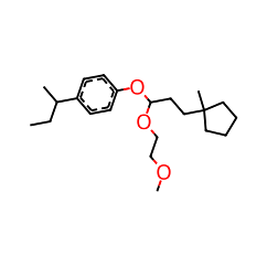 CCC(C)c1ccc(OC(CCC2(C)CCCC2)OCCOC)cc1